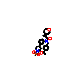 CC(=O)c1ccc(CN(C(=O)C2CC23CCCOCC3)c2cccc(C3CCN(S(C)(=O)=O)CC3)c2)cc1